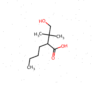 CCCCC(C(=O)O)C(C)(C)CO